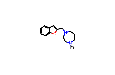 CCN1CCCN(Cc2cc3ccccc3o2)CC1